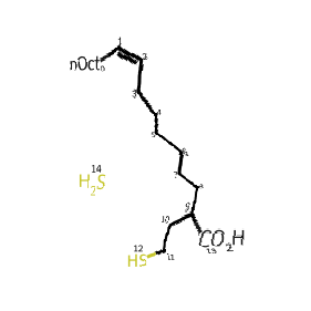 CCCCCCCC/C=C\CCCCCCC(CCS)C(=O)O.S